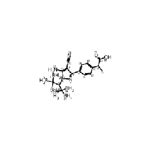 BC(B)(B)C(n1nc(-c2ccc(C(C)C(=O)O)cc2)c(C#N)c1N)C(B)(B)B